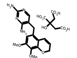 COc1cc(Cc2cnc(N)nc2N)c2c(c1OC)OCC=C2.O=C(O)CC(O)(CC(=O)O)C(=O)O